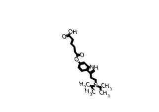 CC(C)N(CCc1c[nH]c2cc(OC(=O)CCCCC(=O)O)ccc12)C(C)C